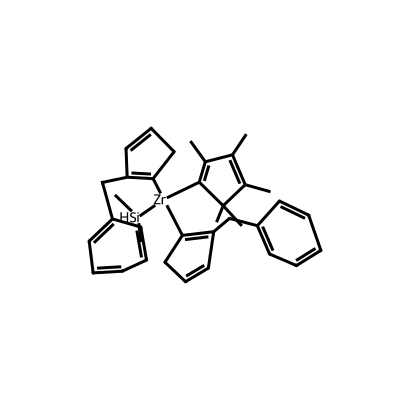 CC1=C(C)C(C)(C)[C]([Zr]([C]2=C(Cc3ccccc3)C=CC2)([C]2=C(Cc3ccccc3)C=CC2)[SiH](C)C)=C1C